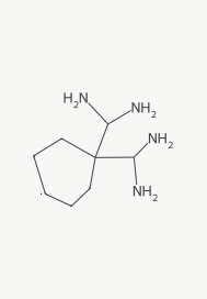 NC(N)C1(C(N)N)CC[CH]CC1